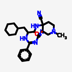 CN1CCC(C#N)(NC(=O)C(CC2CCCCC2)N/C(=N\C#N)c2ccccc2)CC1